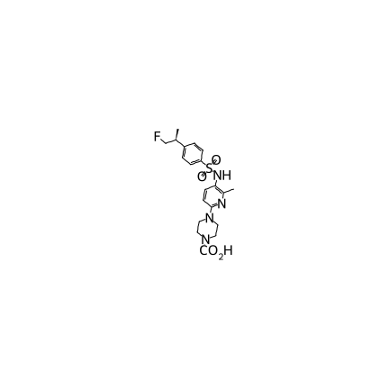 Cc1nc(N2CCN(C(=O)O)CC2)ccc1NS(=O)(=O)c1ccc([C@H](C)CF)cc1